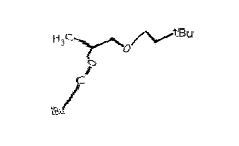 CC(COCCC(C)(C)C)OCCC(C)(C)C